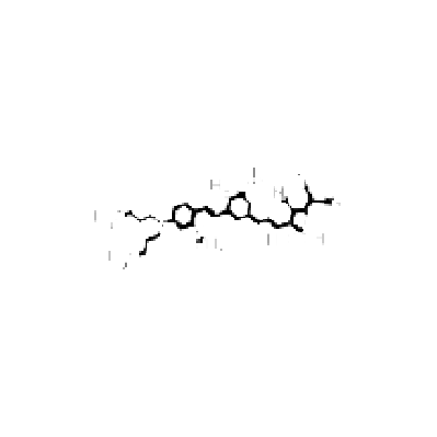 CCCCN(CCCC)c1ccc(/C=C/C2=CC(=C/C=C/C3=C(C#N)C(=C(C#N)C#N)OC3(C)C)/CC(C)(C)C2)c(OC)c1